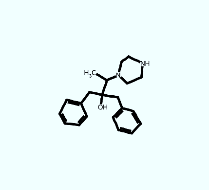 CC(N1CCNCC1)C(O)(Cc1ccccc1)Cc1ccccc1